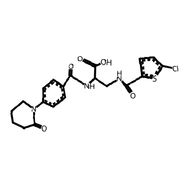 O=C(NC(CNC(=O)c1ccc(Cl)s1)C(=O)O)c1ccc(N2CCCCC2=O)cc1